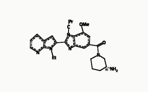 CCn1c(-c2nc3cc(C(=O)N4CCC[C@@H](N)C4)cc(OC)c3n2CC(C)C)cc2cccnc21